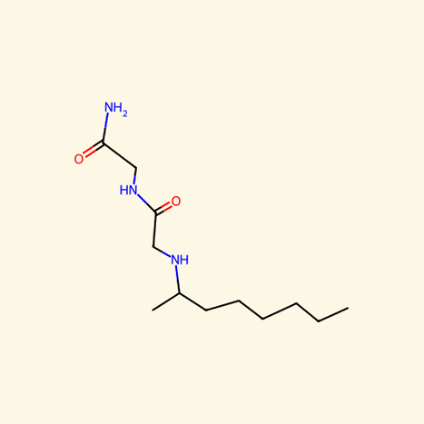 CCCCCCC(C)NCC(=O)NCC(N)=O